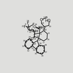 CCCCC1(C(N)=O)N(C2COPOC2)CCCC1(C(=O)NCC(F)(F)F)C1c2ccccc2-c2ccccc21